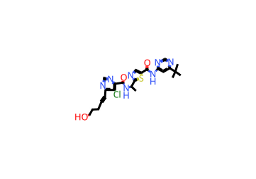 CC(NC(=O)c1ncnc(C#CCCCO)c1Cl)c1ncc(C(=O)Nc2cc(C(C)(C)C)ncn2)s1